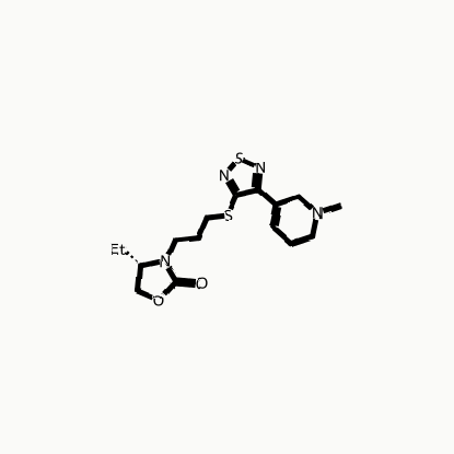 CC[C@H]1COC(=O)N1CCCSc1nsnc1C1=CCCN(C)C1